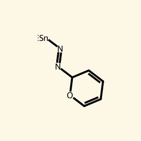 [Sn][N]=NC1C=CC=CO1